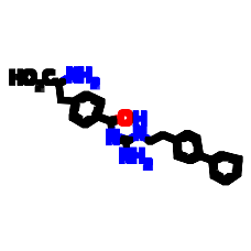 NC(=NC(=O)c1ccc(C[C@H](N)C(=O)O)cc1)NCCc1ccc(-c2ccccc2)cc1